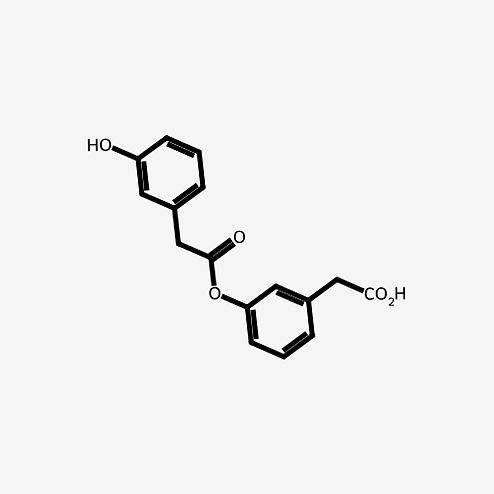 O=C(O)Cc1cccc(OC(=O)Cc2cccc(O)c2)c1